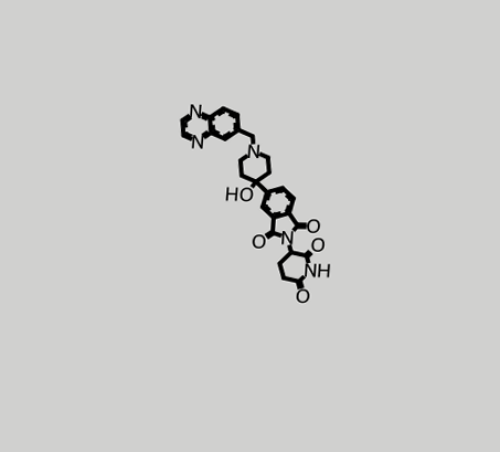 O=C1CCC(N2C(=O)c3ccc(C4(O)CCN(Cc5ccc6nccnc6c5)CC4)cc3C2=O)C(=O)N1